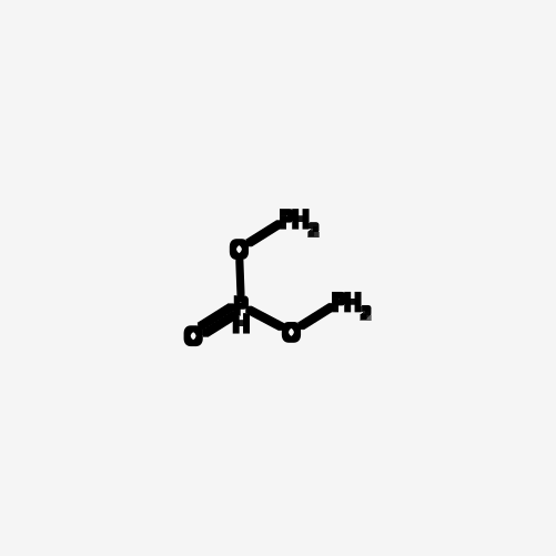 O=[PH](OP)OP